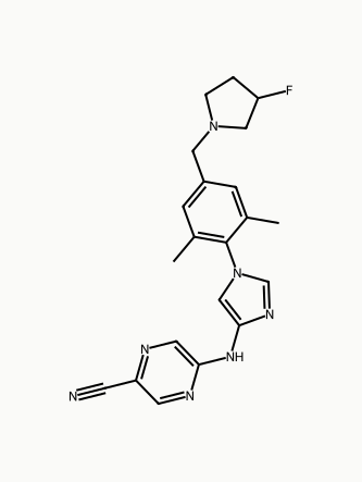 Cc1cc(CN2CCC(F)C2)cc(C)c1-n1cnc(Nc2cnc(C#N)cn2)c1